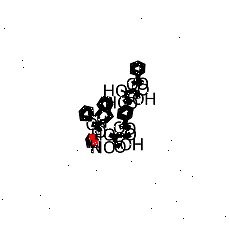 O=C(OC(C(=O)O)C(O)C(=O)O)c1ccccc1.O=C(OC1CN2CCC1CC2)N1CCc2ccccc2[C@H]1c1ccccc1.O=C(O[C@H](C(=O)O)[C@H](O)C(=O)O)c1ccccc1